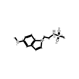 COc1ccc2c(ccn2CCNS(C)(=O)=O)c1